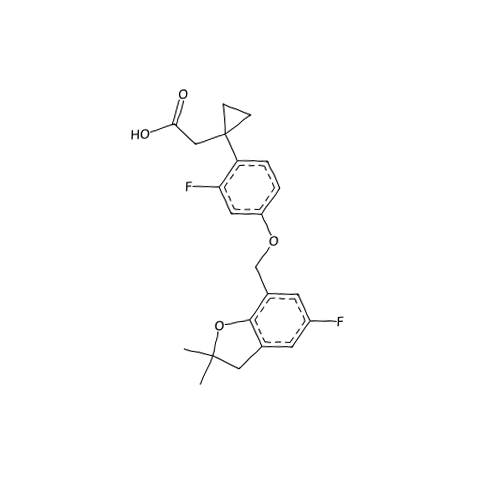 CC1(C)Cc2cc(F)cc(COc3ccc(C4(CC(=O)O)CC4)c(F)c3)c2O1